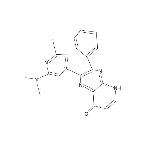 Cc1cc(-c2nc3c(=O)cc[nH]c3nc2-c2ccccc2)cc(N(C)C)n1